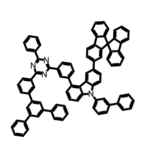 c1ccc(-c2cc(-c3ccccc3)cc(-c3cccc(-c4nc(-c5ccccc5)nc(-c5cccc(-c6cccc7c6c6cc(-c8ccc9c(c8)C8(c%10ccccc%10-c%10ccccc%108)c8ccccc8-9)ccc6n7-c6cccc(-c7ccccc7)c6)c5)n4)c3)c2)cc1